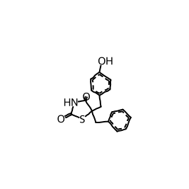 O=C1NC(=O)C(Cc2ccccc2)(Cc2ccc(O)cc2)S1